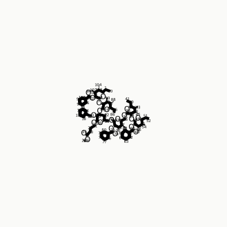 CCC1O[C@H](OC2[C@@H](O[C@@H]3C(OCc4ccccc4)[C@H](OCCCC(=O)OC)OC(CO[C@H]4OC(CO[C@H]5OC(CC)[C@@H](C)[C@H](C)C5O[C@H]5OC(CC)[C@@H](C)[C@H](C)C5OC(=O)c5ccccc5)[C@@H](C)[C@H](C)C4OC(=O)c4ccccc4)[C@H]3C)OC(CC)[C@@H](C)[C@@H]2C)C(OC(=O)c2ccccc2)[C@@H](C)[C@@H]1C